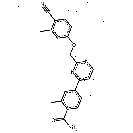 Cc1cc(-c2ccnc(COc3ccc(C#N)c(F)c3)n2)ccc1C(N)=O